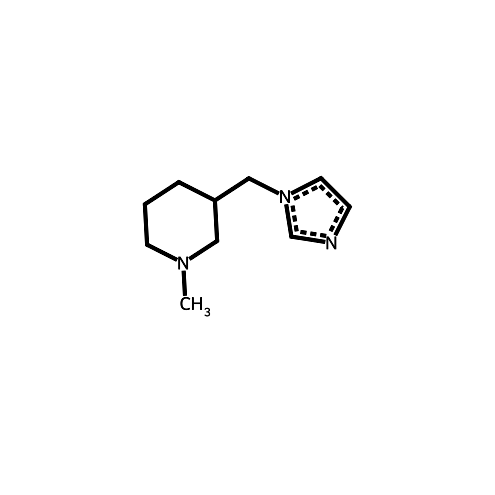 CN1CCCC(Cn2ccnc2)C1